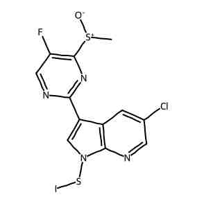 C[S+]([O-])c1nc(-c2cn(SI)c3ncc(Cl)cc23)ncc1F